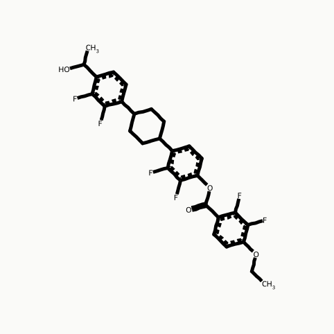 CCOc1ccc(C(=O)Oc2ccc(C3CCC(c4ccc(C(C)O)c(F)c4F)CC3)c(F)c2F)c(F)c1F